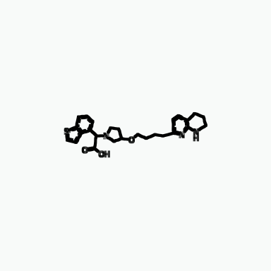 O=C(O)C(c1cccc2sccc12)N1CCC(OCCCCc2ccc3c(n2)NCCC3)C1